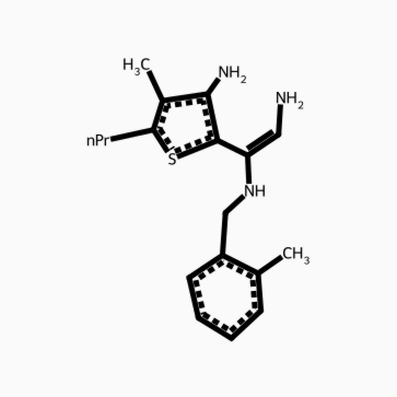 CCCc1sc(/C(=C\N)NCc2ccccc2C)c(N)c1C